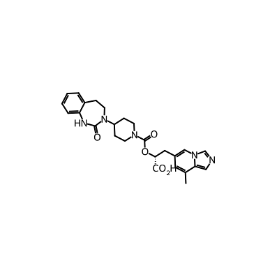 Cc1cc(C[C@@H](OC(=O)N2CCC(N3CCc4ccccc4NC3=O)CC2)C(=O)O)cn2cncc12